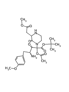 COC(=O)CC1NCCN(C(OC(C)=O)(C(=O)OC(C)(C)C)C(=O)[C@@H](N)Cc2ccc(OC)cc2)C1=O